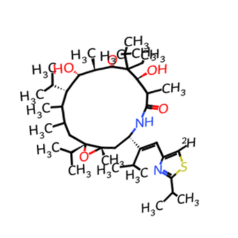 [2H]c1sc(C(C)C)nc1/C=C(\C(C)C)[C@@H]1C[C@]2(C)O[C@]2(C(C)C)CC(C)C(C)[C@H](C(C)C)[C@H](O)[C@@H](C)C(=O)C(CC)(C(C)(C)C)[C@@H](O)C(C)C(=O)N1